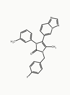 Cc1cccc(-n2c(-c3ccc4ncnn4c3)c(C)n(Cc3ccc(F)cc3)c2=O)c1